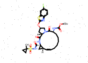 CC(C)(C)OC(=O)N[C@H]1CCCCC/C=C\[C@@H]2C[C@@]2(C(=O)NS(=O)(=O)C2(C)CC2)NC(=O)[C@@H]2C[C@@H](Oc3nc4ccc(F)cc4s3)CN2C1=O